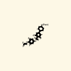 CCCCCC1CCC(c2cc(F)c(C(F)(F)Oc3cc(F)c(OC=C(F)F)c(F)c3)c(F)c2)CC1